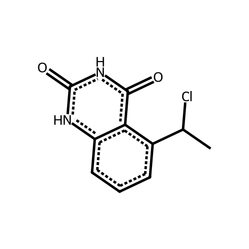 CC(Cl)c1cccc2[nH]c(=O)[nH]c(=O)c12